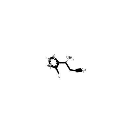 C#CC[C@@H](N)c1nn[nH]c1F